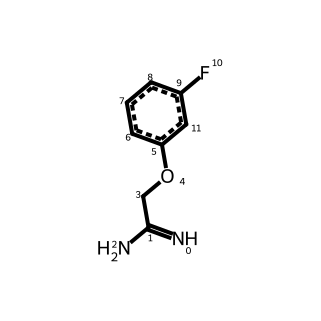 N=C(N)COc1cccc(F)c1